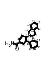 NC(=O)c1ccc(N2CCc3ccccc3C2)c(-c2ccccc2)c1